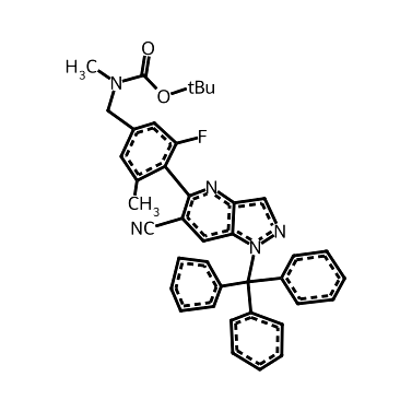 Cc1cc(CN(C)C(=O)OC(C)(C)C)cc(F)c1-c1nc2cnn(C(c3ccccc3)(c3ccccc3)c3ccccc3)c2cc1C#N